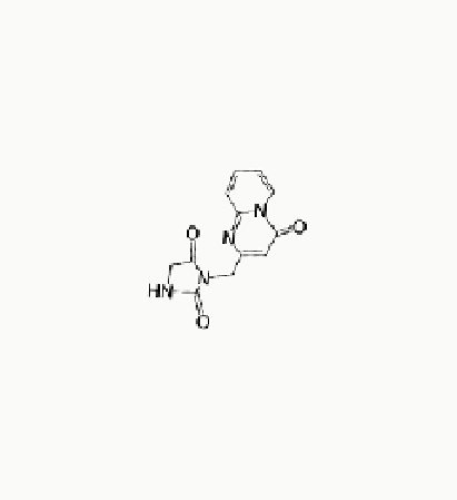 O=C1CNC(=O)N1Cc1cc(=O)n2ccccc2n1